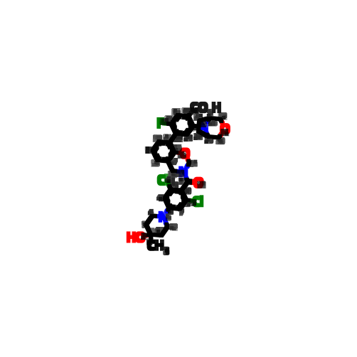 CC1(O)CCN(c2cc(Cl)c(C(=O)N3COc4c(cccc4-c4cc(N5C6CCC5COC6)c(C(=O)O)cc4F)C3)c(Cl)c2)CC1